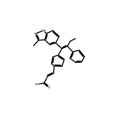 CC/C(=C(/c1ccc(/C=C/C(=O)O)cc1)c1ccc2[nH]nc(C)c2c1)c1ccccc1